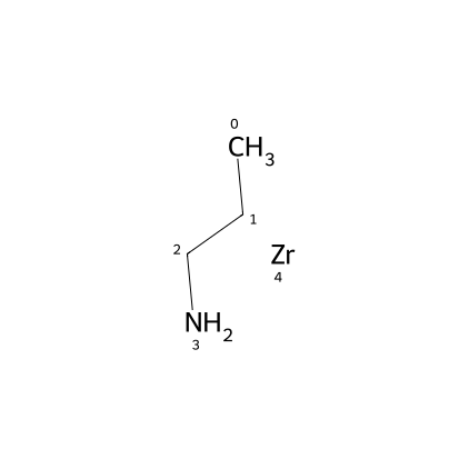 CCCN.[Zr]